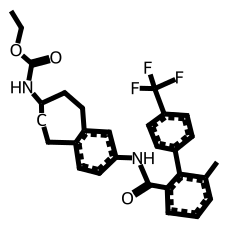 CCOC(=O)NC1CCc2ccc(NC(=O)c3cccc(C)c3-c3ccc(C(F)(F)F)cc3)cc2CC1